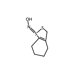 ON=S1SCC2=C1CCCC2